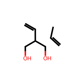 C=CC.C=CC(CO)CO